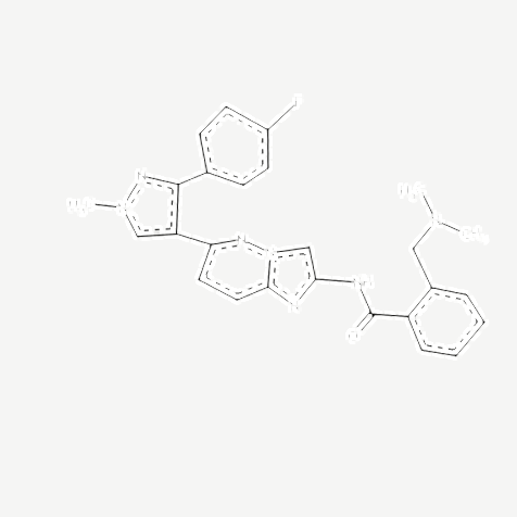 CN(C)Cc1ccccc1C(=O)Nc1cn2nc(-c3cn(C)nc3-c3ccc(F)cc3)ccc2n1